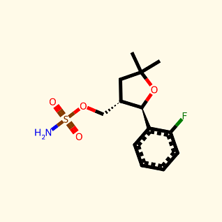 CC1(C)C[C@@H](COS(N)(=O)=O)[C@H](c2ccccc2F)O1